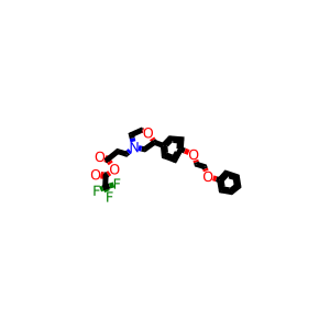 O=C(CCN1CCOC(c2ccc(OCCOc3ccccc3)cc2)C1)OC(=O)C(F)(F)F